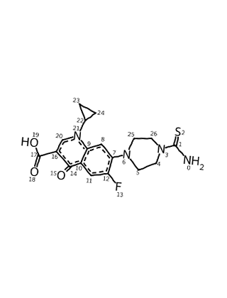 NC(=S)N1CCN(c2cc3c(cc2F)c(=O)c(C(=O)O)cn3C2CC2)CC1